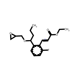 CCCC(OCC1CO1)c1cccc(F)c1/C=C/C(=O)OCC